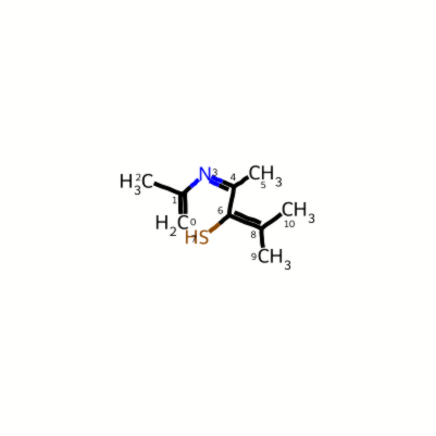 C=C(C)/N=C(/C)C(S)=C(C)C